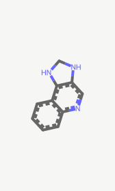 c1ccc2c3c(cnc2c1)NCN3